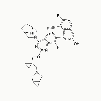 C#Cc1c(F)ccc2cc(O)cc(-c3ccc4c(N5CC6CCC(C5)N6)nc(OCC5(CN6CC7CC7C6)CC5)nc4c3F)c12